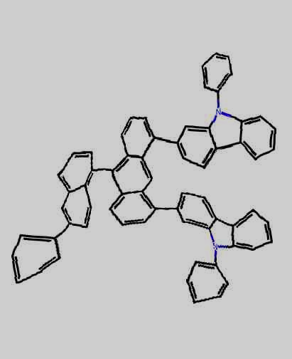 c1ccc(-c2ccc3c(-c4c5cccc(-c6ccc7c8ccccc8n(-c8ccccc8)c7c6)c5cc5c(-c6ccc7c8ccccc8n(-c8ccccc8)c7c6)cccc45)cccc3c2)cc1